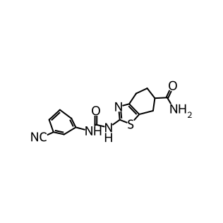 N#Cc1cccc(NC(=O)Nc2nc3c(s2)CC(C(N)=O)CC3)c1